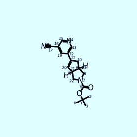 CC(C)(C)OC(=O)N1C[C@H]2CC(c3cncc(C#N)c3)=C[C@H]2C1